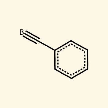 B#Cc1ccccc1